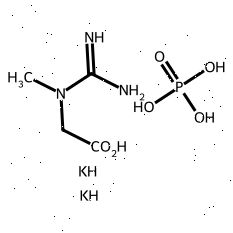 CN(CC(=O)O)C(=N)N.O=P(O)(O)O.[KH].[KH]